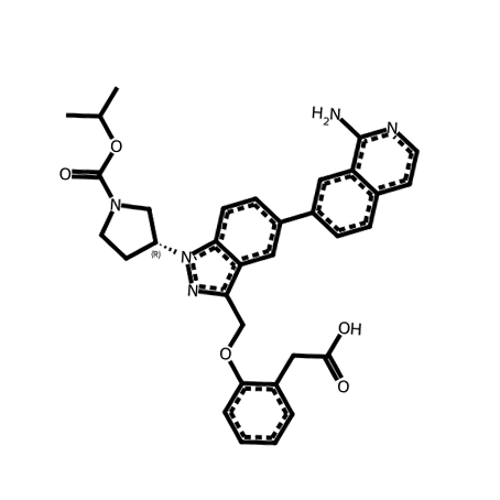 CC(C)OC(=O)N1CC[C@@H](n2nc(COc3ccccc3CC(=O)O)c3cc(-c4ccc5ccnc(N)c5c4)ccc32)C1